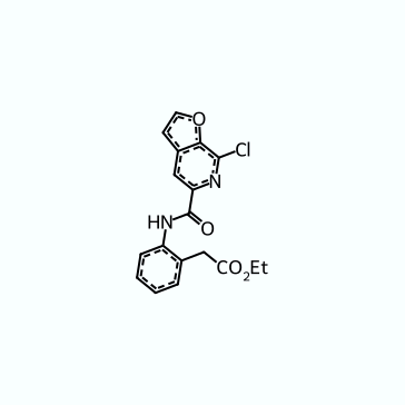 CCOC(=O)Cc1ccccc1NC(=O)c1cc2ccoc2c(Cl)n1